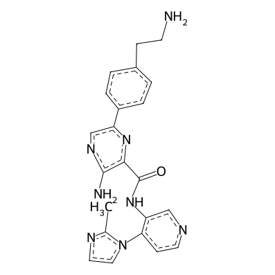 Cc1nccn1-c1ccncc1NC(=O)c1nc(-c2ccc(CCN)cc2)cnc1N